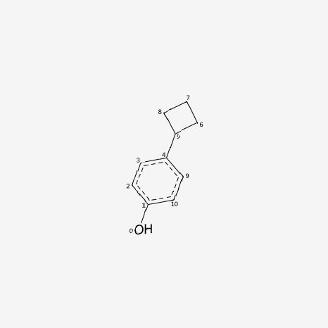 Oc1ccc(C2CCC2)cc1